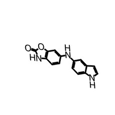 O=c1[nH]c2ccc(Nc3ccc4[nH]ccc4c3)cc2o1